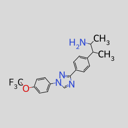 CC(N)C(C)c1ccc(-c2ncn(-c3ccc(OC(F)(F)F)cc3)n2)cc1